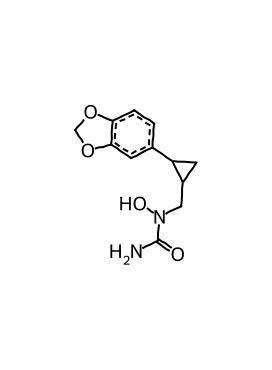 NC(=O)N(O)CC1CC1c1ccc2c(c1)OCO2